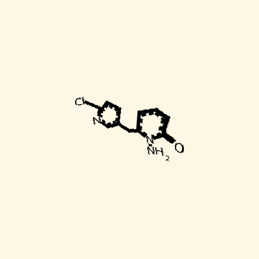 Nn1c(Cc2ccc(Cl)nc2)cccc1=O